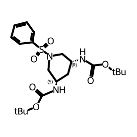 CC(C)(C)OC(=O)N[C@@H]1C[C@H](NC(=O)OC(C)(C)C)CN(S(=O)(=O)c2ccccc2)C1